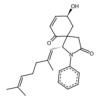 CC(C)=CCC/C(C)=C/[C@H]1N(c2ccccc2)C(=O)CC12C[C@H](O)C=CC2=O